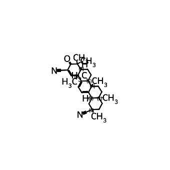 CC1(C)C(=O)C(C#N)=C[C@]2(C)C3=CC=C4[C@@H]5C[C@@](C)(C#N)CC[C@]5(C)CC[C@@]4(C)[C@]3(C)CC[C@@H]12